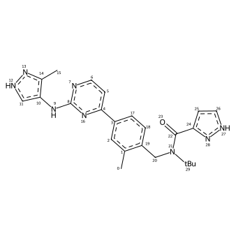 Cc1cc(-c2ccnc(Nc3c[nH]nc3C)n2)ccc1CN(C(=O)c1cc[nH]n1)C(C)(C)C